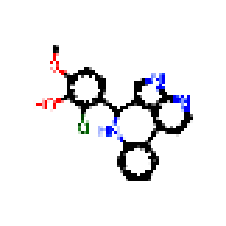 COc1ccc(C2Nc3ccccc3-c3ccnc4[nH]cc2c34)c(Cl)c1O